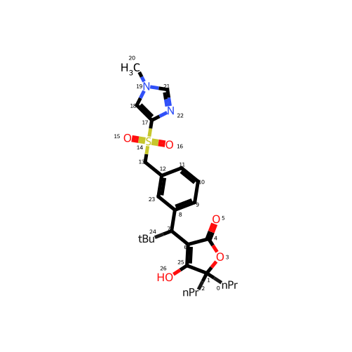 CCCC1(CCC)OC(=O)C(C(c2cccc(CS(=O)(=O)c3cn(C)cn3)c2)C(C)(C)C)=C1O